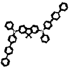 CC1(C)c2cc(N(c3ccccc3)c3ccc(C4=CCC(c5ccccc5)C=C4)cc3)ccc2-c2ccc(N(c3ccccc3)c3ccc(-c4ccc(-c5ccccc5)cc4)cc3)cc21